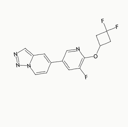 Fc1cc(-c2ccn3nncc3c2)cnc1OC1CC(F)(F)C1